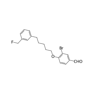 O=Cc1ccc(OCCCCCc2cccc(CF)c2)c(Br)c1